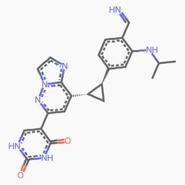 CC(C)Nc1cc([C@H]2C[C@@H]2c2cc(-c3c[nH]c(=O)[nH]c3=O)nn3ccnc23)ccc1C=N